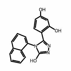 Oc1ccc(-c2nnc(O)n2-c2cccc3ccccc23)c(O)c1